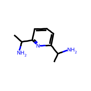 CC(N)c1cccc(C(C)N)n1